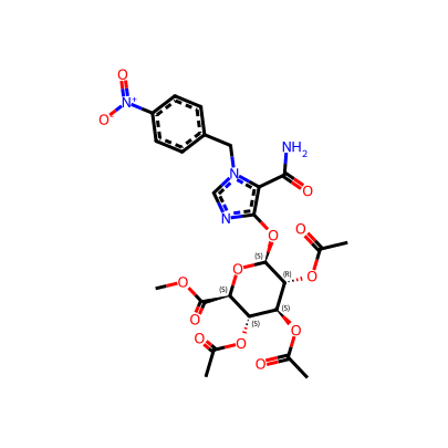 COC(=O)[C@H]1O[C@@H](Oc2ncn(Cc3ccc([N+](=O)[O-])cc3)c2C(N)=O)[C@H](OC(C)=O)[C@@H](OC(C)=O)[C@@H]1OC(C)=O